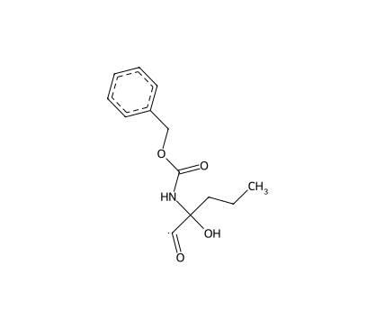 CCCC(O)([C]=O)NC(=O)OCc1ccccc1